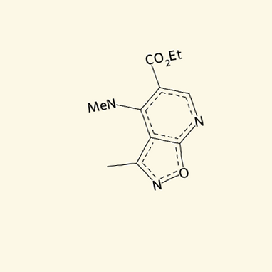 CCOC(=O)c1cnc2onc(C)c2c1NC